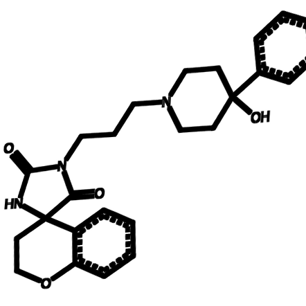 O=C1NC2(CCOc3ccccc32)C(=O)N1CCCN1CCC(O)(c2ccccc2)CC1